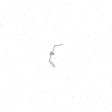 C=[CH][Zn][CH2]C